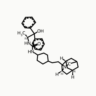 C[C@H](NC(=O)NC1CCC(CCN2CC3C[C@@H]4C[C@H](C3)C[C@@H]2C4)CC1)C(O)(c1ccccc1)c1ccccc1